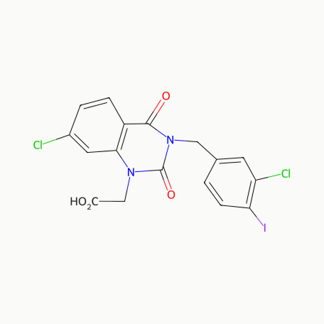 O=C(O)Cn1c(=O)n(Cc2ccc(I)c(Cl)c2)c(=O)c2ccc(Cl)cc21